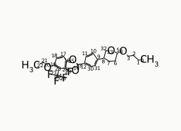 CCCCOC1CCC(c2ccc(C(=O)Oc3ccc(OCC)c(C(F)(F)F)c3F)cc2)CO1